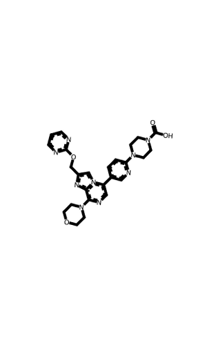 O=C(O)N1CCN(c2ccc(-c3cnc(N4CCOCC4)c4nc(COc5ncccn5)cn34)cn2)CC1